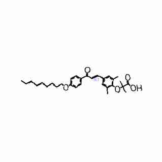 CCCCCCCCCOc1ccc(C(=O)/C=C/c2cc(C)c(OC(C)(C)C(=O)O)c(C)c2)cc1